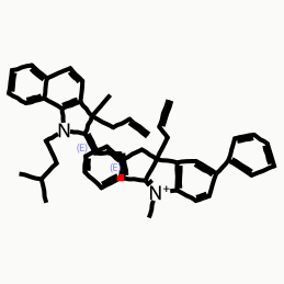 C=CCC1(Cc2ccccc2)C(/C=C/C=C2/N(CCC(C)C)c3c(ccc4ccccc34)C2(C)CC=C)=[N+](C)c2ccc(-c3ccccc3)cc21